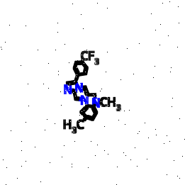 Cc1ccc(N(C)Cc2cn3c(-c4ccc(C(F)(F)F)cc4)cnc3cn2)cc1